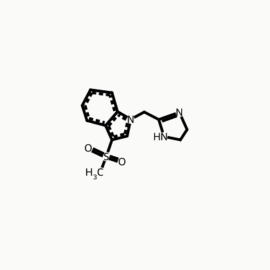 CS(=O)(=O)c1cn(CC2=NCCN2)c2ccccc12